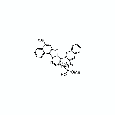 COC1(O)C2(C)c3cc4ccccc4cc3C3=[N+](C=NC4c5c(cc(C(C)(C)C)c6ccccc56)OC34)C12C